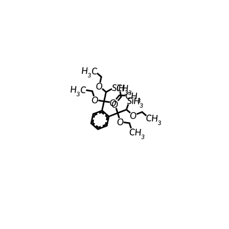 CCOC([SiH3])C(OCC)(OCC)c1ccccc1C(OCC)(OCC)C([SiH3])OCC